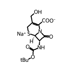 CC(C)(C)OC(=O)N[C@@H]1C(=O)N2C(C(=O)[O-])=C(CO)CS[C@H]12.[Na+]